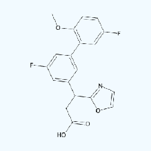 COc1ccc(F)cc1-c1cc(F)cc(C(CC(=O)O)c2ncco2)c1